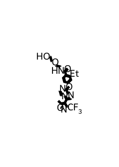 CCc1cc(Oc2nccn3c(-c4c(C(F)(F)F)noc4C)cnc23)ccc1C(=O)NCCOCCO